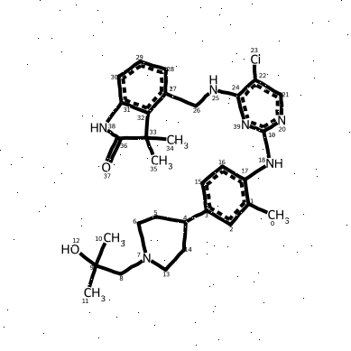 Cc1cc(C2CCN(CC(C)(C)O)CC2)ccc1Nc1ncc(Cl)c(NCc2cccc3c2C(C)(C)C(=O)N3)n1